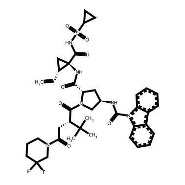 C=C[C@@H]1C[C@]1(NC(=O)[C@@H]1C[C@@H](NC(=O)n2c3ccccc3c3ccccc32)CN1C(=O)[C@@H](CC(=O)N1CCCC(F)(F)C1)C(C)(C)C)C(=O)NS(=O)(=O)C1CC1